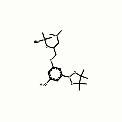 COc1cc(OCC(CN(C)C)O[Si](C)(C)C(C)(C)C)cc(B2OC(C)(C)C(C)(C)O2)c1